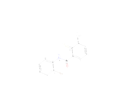 CC1C=CC=C(C(=O)Nc2ccccc2Br)C1=S